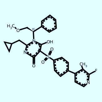 COC[C@@H](c1ccccc1)n1c(CC2CC2)nc(=O)c(S(=O)(=O)c2ccc(-c3ccnc(F)c3C)cc2)c1O